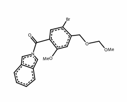 COCOCc1cc(OC)c(C(=O)n2cc3ccccc3c2)cc1Br